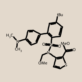 COCN(c1ccsc1C(=O)OC)S(=O)(=O)c1ccc(C(C)(C)C)cc1-c1ccc(N(C)C)cc1